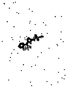 CCCS(=O)(=O)O/N=C1C=C/C(=C(/C#N)c2ccccc2C)S\1